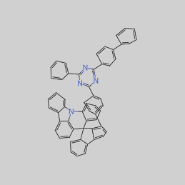 c1ccc(-c2ccc(-c3nc(-c4ccccc4)nc(-c4ccc(-c5cccc6c5C5(c7ccccc7-6)c6ccccc6-n6c7ccccc7c7cccc5c76)cc4)n3)cc2)cc1